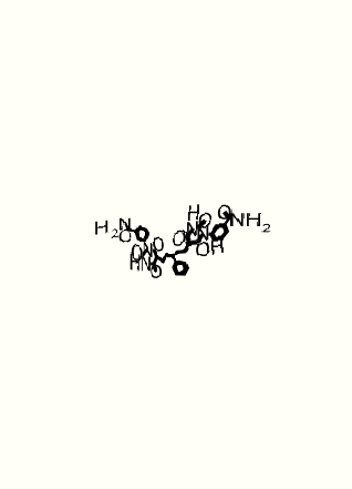 NC(=O)c1cccc(N2C(=O)NC(=O)C(=CC=C(C=Cc3c(O)n(-c4cccc(C(N)=O)c4)c(=O)[nH]c3=O)c3ccccc3)C2=O)c1